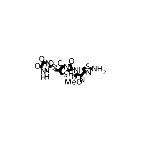 CO/N=C(\C(=O)N[C@@H]1C(=O)N2C(C(=O)O)=C(CSc3nc(=O)c(=O)[nH][nH]3)CS[C@H]12)c1csc(N)n1